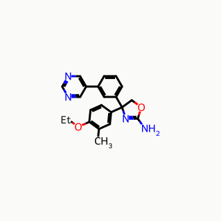 CCOc1ccc(C2(c3cccc(-c4cncnc4)c3)COC(N)=N2)cc1C